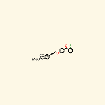 CO[C@@H](Cc1ccc(C#CCOc2ccc(C(=O)c3ccccc3F)cc2)cc1)C(=O)O